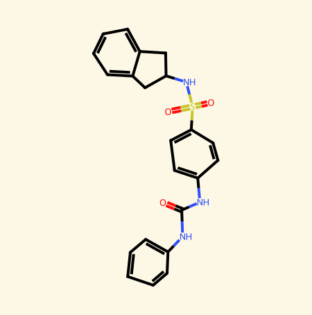 O=C(Nc1ccccc1)Nc1ccc(S(=O)(=O)NC2Cc3ccccc3C2)cc1